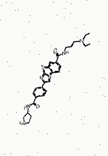 CCN(CC)CCCNC(=O)c1ccc2c(c1)sc1nc(-c3ccc(C(=O)NC4CCNC4)cc3)cn12